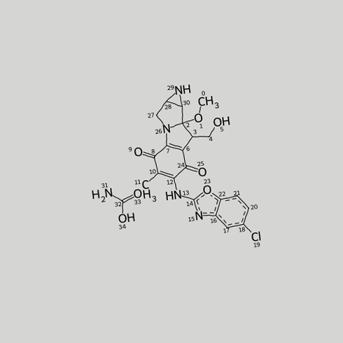 COC12C(CO)C3=C(C(=O)C(C)=C(Nc4nc5cc(Cl)ccc5o4)C3=O)N1CC1NC12.NC(=O)O